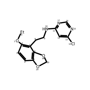 CCOc1ccc2c(c1CCNc1cc(Cl)ncn1)OCO2